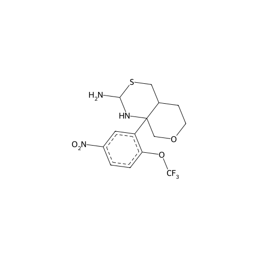 NC1NC2(c3cc([N+](=O)[O-])ccc3OC(F)(F)F)COCCC2CS1